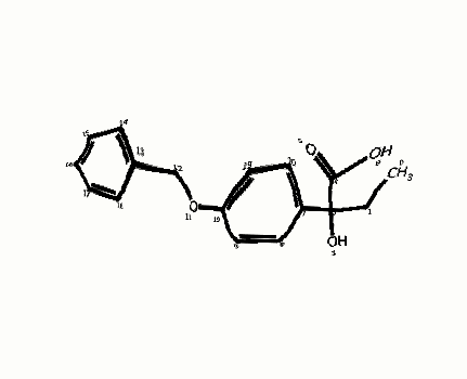 CCC(O)(C(=O)O)c1ccc(OCc2ccccc2)cc1